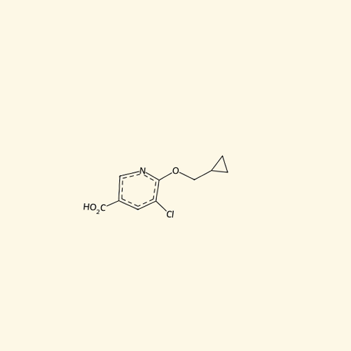 O=C(O)c1cnc(OCC2CC2)c(Cl)c1